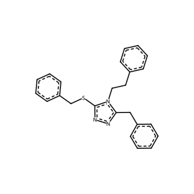 c1ccc(CCn2c(Cc3ccccc3)nnc2SCc2ccccc2)cc1